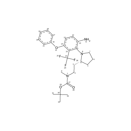 CN(CC[C@H]1CCCN1c1c(N)ccc(Oc2ccccc2)c1C(F)(F)F)C(=O)OC(C)(C)C